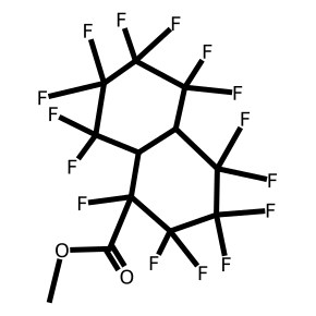 COC(=O)C1(F)C2C(C(F)(F)C(F)(F)C(F)(F)C2(F)F)C(F)(F)C(F)(F)C1(F)F